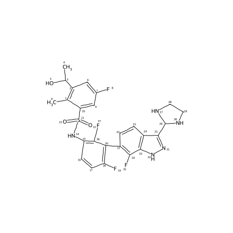 Cc1c(C(C)O)cc(F)cc1S(=O)(=O)Nc1ccc(F)c(-c2ccc3c(C4NCCN4)n[nH]c3c2F)c1F